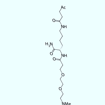 CNCCOCCOCCC(=O)N[C@@H](CCCCNC(=O)CCC(C)=O)C(N)=O